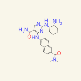 CN(C)C(=O)c1ccc2cc(Nc3nc(N[C@@H]4CCCC[C@@H]4N)ncc3C(N)=O)ccc2c1